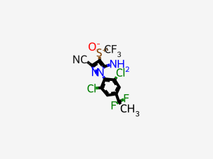 CC(F)(F)c1cc(Cl)c(-n2nc(C#N)c([S+]([O-])C(F)(F)F)c2N)c(Cl)c1